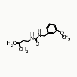 C=C(C)CCNC(=O)NCc1cccc(OC(F)(F)F)c1